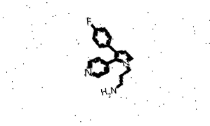 NCCCn1ccc(-c2ccc(F)cc2)c1-c1ccncc1